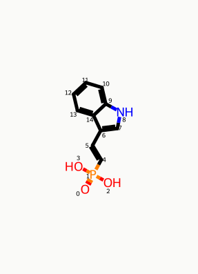 O=P(O)(O)/C=C/c1c[nH]c2ccccc12